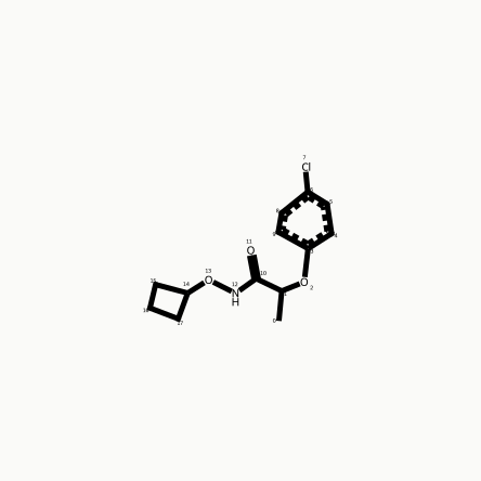 CC(Oc1ccc(Cl)cc1)C(=O)NOC1CCC1